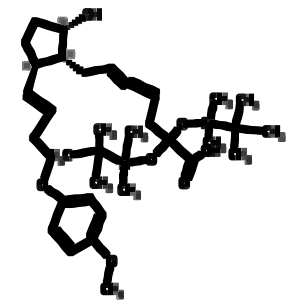 COc1ccc(OCCC=C[C@H]2CC[C@H](O)[C@@H]2CC=C=CCC(O[Si](C)(C)C(C)(C)C)(O[Si](C)(C)C(C)(C)C)C(=O)O)cc1